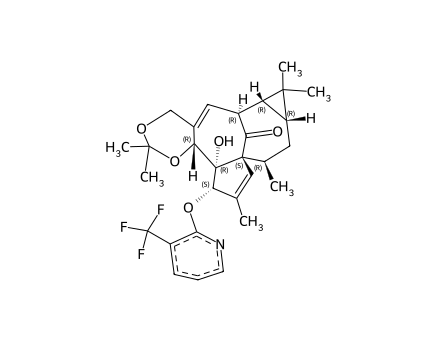 CC1=C[C@]23C(=O)[C@@H](C=C4COC(C)(C)O[C@H]4[C@]2(O)[C@H]1Oc1ncccc1C(F)(F)F)[C@H]1[C@@H](C[C@H]3C)C1(C)C